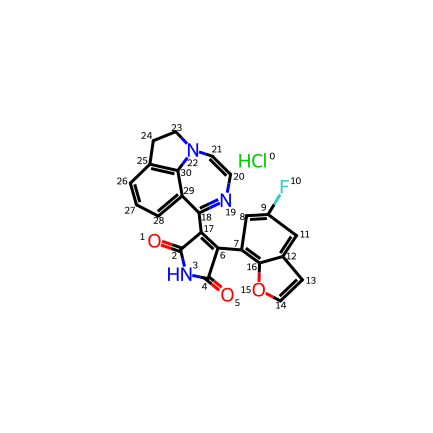 Cl.O=C1NC(=O)C(c2cc(F)cc3ccoc23)=C1C1=NC=CN2CCc3cccc1c32